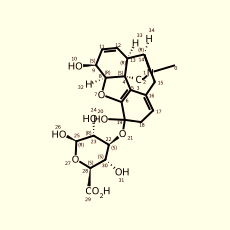 CN1CC[C@]23C4=C5O[C@H]2[C@@H](O)C=C[C@H]3[C@H]1CC4=CCC5(O)O[C@@H]1[C@@H](O)[C@H](O)O[C@H](C(=O)O)[C@H]1O